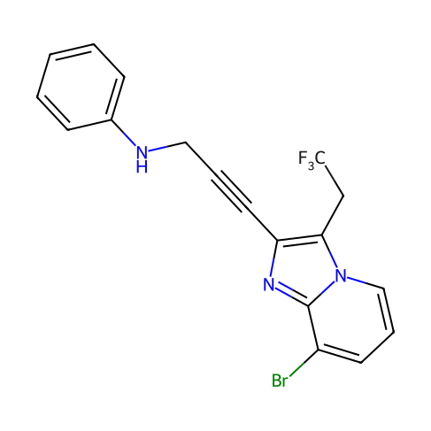 FC(F)(F)Cc1c(C#CCNc2ccccc2)nc2c(Br)cccn12